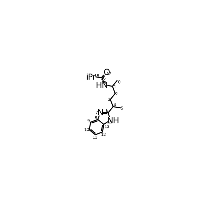 CC(CCC(C)c1nc2ccccc2[nH]1)NC(=O)C(C)C